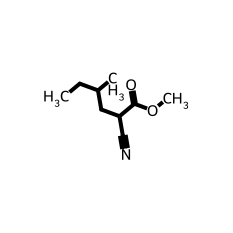 CCC(C)CC(C#N)C(=O)OC